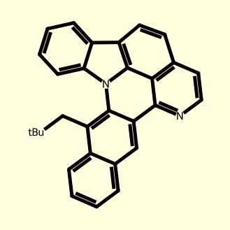 CC(C)(C)Cc1c2ccccc2cc2c3nccc4ccc5c6ccccc6n(c12)c5c43